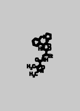 CC[C@H](CNC(=O)c1onc(C)c1C)C(=O)N[C@@H]1C(=O)N2CCCN2Cc2ccccc21